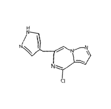 Clc1nc(-c2cn[nH]c2)cn2nccc12